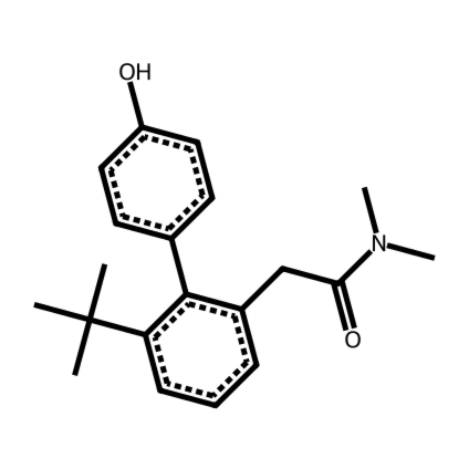 CN(C)C(=O)Cc1cccc(C(C)(C)C)c1-c1ccc(O)cc1